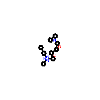 c1ccc(-c2ccc(-c3nc(-c4ccccc4)nc(-c4cccc5oc6c(-c7ccc8oc9ccc(-n%10c%11ccccc%11c%11ccccc%11%10)cc9c8c7)cccc6c45)n3)cc2)cc1